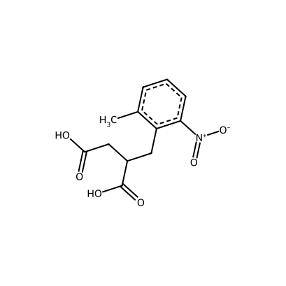 Cc1cccc([N+](=O)[O-])c1CC(CC(=O)O)C(=O)O